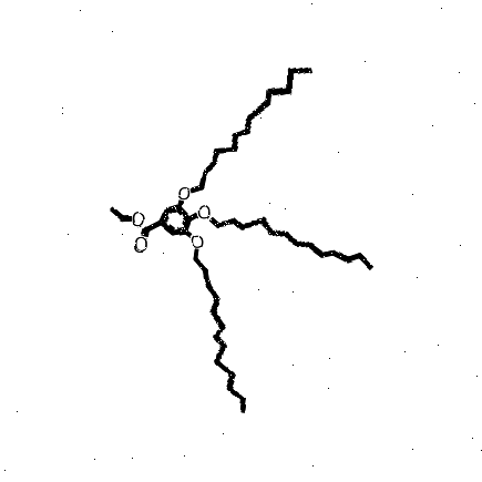 CCCCCCCCCCCCCOc1cc(C(=O)OCC)cc(OCCCCCCCCCCCCC)c1OCCCCCCCCCCCCC